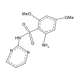 COc1cc(N)c(S(=O)(=O)Nc2ncccn2)c(OC)c1